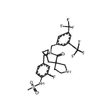 CS(=O)(=O)Nc1ccc(CN(Cc2cc(C(F)(F)F)cc(C(F)(F)F)c2)C(=O)C2(CC3CC3)CCNC2)cc1F